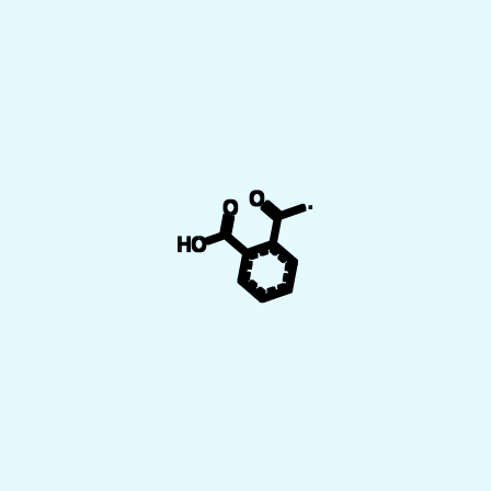 [CH2]C(=O)c1ccccc1C(=O)O